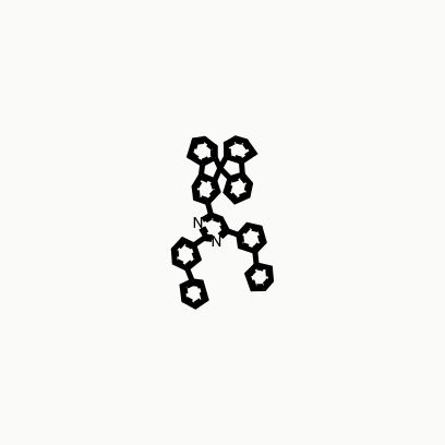 c1ccc(-c2cccc(-c3cc(-c4ccc5c(c4)C4(c6ccccc6-c6ccccc64)c4ccccc4-5)nc(-c4cccc(-c5ccccc5)c4)n3)c2)cc1